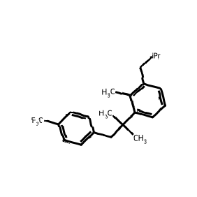 Cc1c(CC(C)C)cccc1C(C)(C)Cc1ccc(C(F)(F)F)cc1